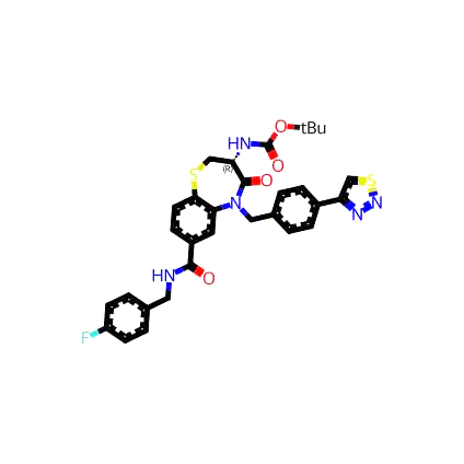 CC(C)(C)OC(=O)N[C@H]1CSc2ccc(C(=O)NCc3ccc(F)cc3)cc2N(Cc2ccc(-c3csnn3)cc2)C1=O